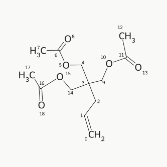 C=CCC(COC(C)=O)(COC(C)=O)COC(C)=O